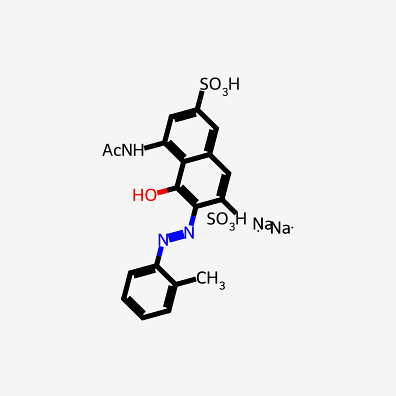 CC(=O)Nc1cc(S(=O)(=O)O)cc2cc(S(=O)(=O)O)c(N=Nc3ccccc3C)c(O)c12.[Na].[Na]